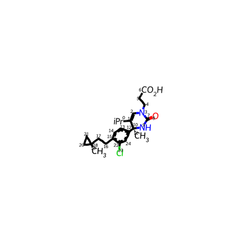 CC(C)C1=CN(CCC(=O)O)C(=O)N[C@@]1(C)c1ccc(CCC2(C)CC2)c(Cl)c1